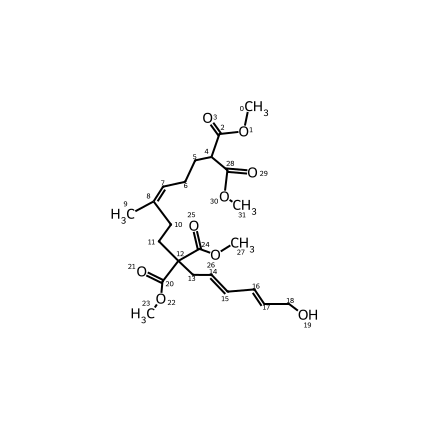 COC(=O)C(CCC=C(C)CCC(CC=CC=CCO)(C(=O)OC)C(=O)OC)C(=O)OC